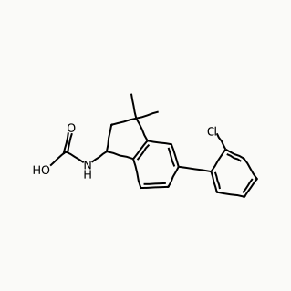 CC1(C)CC(NC(=O)O)c2ccc(-c3ccccc3Cl)cc21